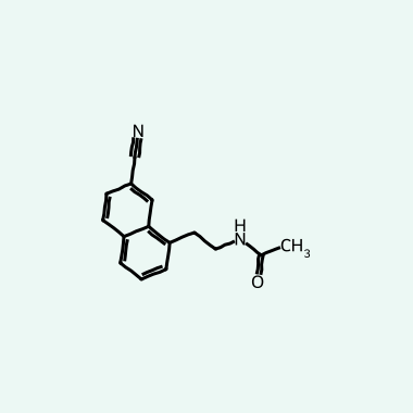 CC(=O)NCCc1cccc2ccc(C#N)cc12